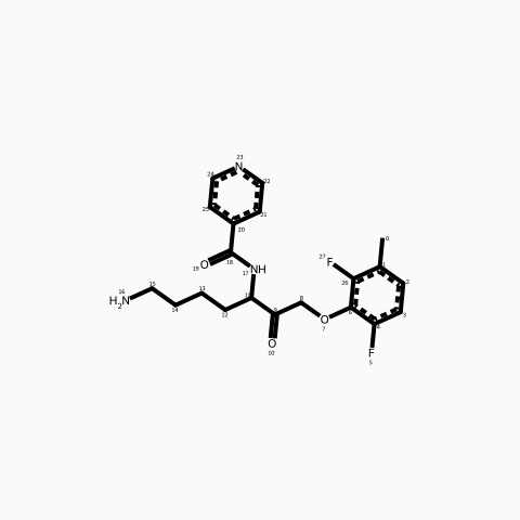 Cc1ccc(F)c(OCC(=O)C(CCCCN)NC(=O)c2ccncc2)c1F